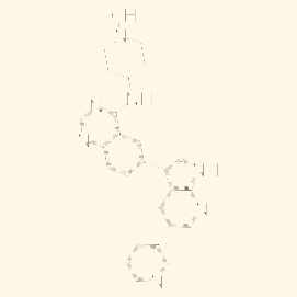 CN1CCC(Nc2ncnc3ccc(-c4c[nH]c5ncc(-c6cccnc6)cc45)cc23)CC1